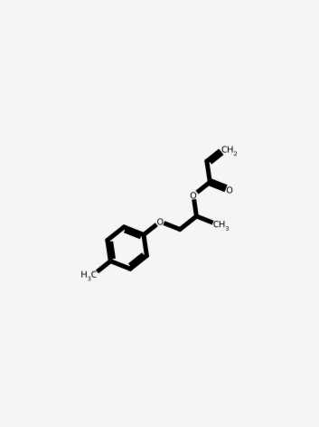 C=CC(=O)OC(C)COc1ccc(C)cc1